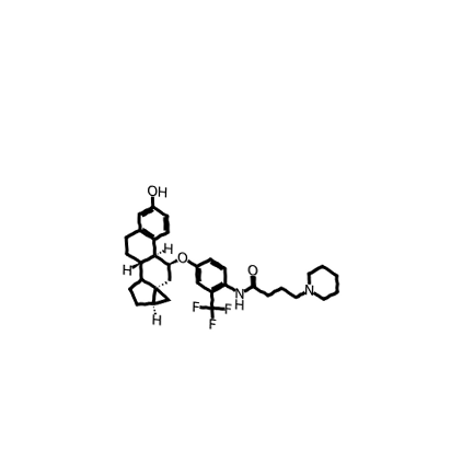 O=C(CCCN1CCCCC1)Nc1ccc(O[C@H]2C[C@]34C[C@H]3CCC4[C@@H]3CCc4cc(O)ccc4[C@@H]23)cc1C(F)(F)F